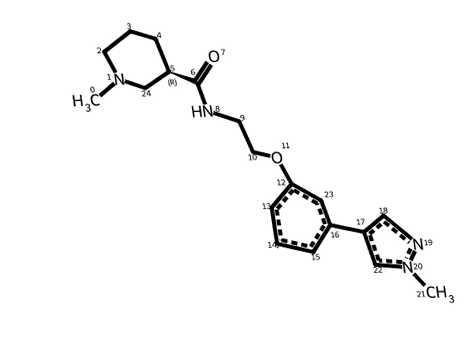 CN1CCC[C@@H](C(=O)NCCOc2c[c]cc(-c3cnn(C)c3)c2)C1